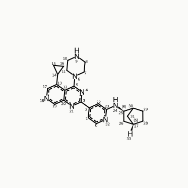 c1cc(-c2nc(N3CCNCC3)c3c(C4CC4)cncc3n2)cc(N[C@@H]2C[C@H]3CCC2C3)n1